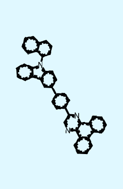 c1ccc2c(-n3c4ccccc4c4cc(-c5ccc(-c6cnc7c8ccccc8c8ccccc8c7n6)cc5)ccc43)cccc2c1